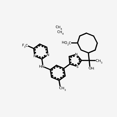 C.C.Cc1cc(Nc2nccc(C(F)(F)F)n2)cc(-c2cnc(C(C)(O)C3CCCCC[C](C(=O)O)C3)s2)c1